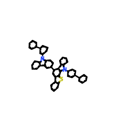 c1ccc(-c2ccc(-n3c4ccccc4c4c(-c5ccc6c(c5)c5ccccc5n6-c5cccc(-c6ccccc6)c5)cc5c6ccccc6sc5c43)cc2)cc1